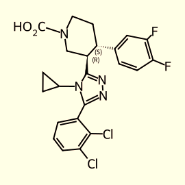 O=C(O)N1CC[C@H](c2ccc(F)c(F)c2)[C@@H](c2nnc(-c3cccc(Cl)c3Cl)n2C2CC2)C1